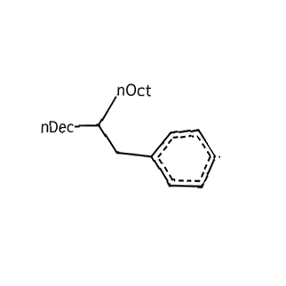 CCCCCCCCCCC(CCCCCCCC)Cc1cc[c]cc1